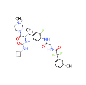 C[C@@H](c1ccc(NC(=O)CNC(=O)C(F)(F)c2cccc(C#N)c2)c(F)c1)[C@@H](NC(=O)NC1CCC1)C(=O)N1CCN(C)CC1